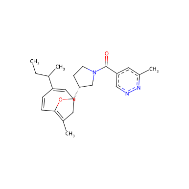 CCC(C)C1=C/CC/C(C)=C(OC[C@@H]2CCN(C(=O)c3cnnc(C)c3)C2)/C=C\1